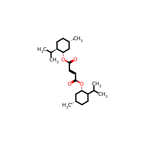 CC(C)C1CC[C@H](C)C[C@@H]1OC(=O)/C=C/C(=O)O[C@H]1C[C@@H](C)CC[C@@H]1C(C)C